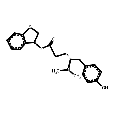 CN(C)[C@H](CCC(=O)NC1CSc2ccccc21)Cc1ccc(O)cc1